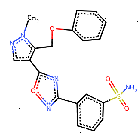 Cn1ncc(-c2nc(-c3cccc(S(N)(=O)=O)c3)no2)c1COc1ccccc1